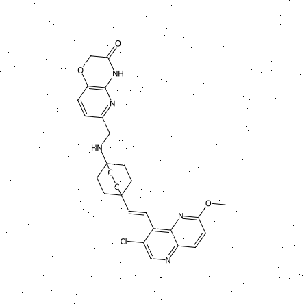 COc1ccc2ncc(Cl)c(C=CC34CCC(NCc5ccc6c(n5)NC(=O)CO6)(CC3)CC4)c2n1